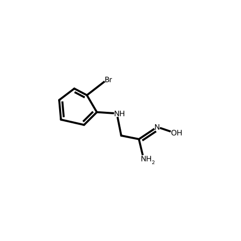 NC(CNc1ccccc1Br)=NO